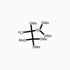 CO[SiH](OC)C([SiH3])(OC)C(OC)(OC)OC